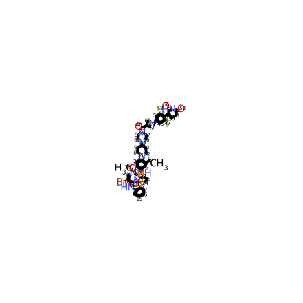 CCc1cc(Nc2ncc(Br)c(Nc3ccccc3[PH]3(O)CCCC3)n2)c(OC)cc1N1CCC(N2CCN(C(=O)C3CN(c4cc(F)c(C5CCC(=O)NC5=O)c(F)c4)C3)CC2)CC1